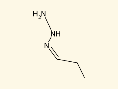 CC/C=N\NN